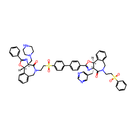 O=C1N(CCS(=O)(=O)c2ccccc2)Cc2ccccc2[C@@H]2OC(c3ccc(-c4ccc(S(=O)(=O)CCN5Cc6ccccc6[C@@H]6OC(c7ccccc7)=N[C@]6(CN6CCNCC6)C5=O)cc4)cc3)=N[C@]12Cc1cncnc1